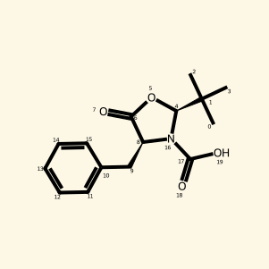 CC(C)(C)[C@@H]1OC(=O)[C@H](Cc2ccccc2)N1C(=O)O